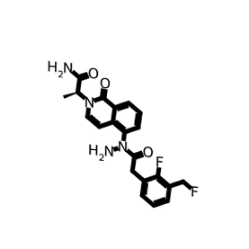 C[C@@H](C(N)=O)n1ccc2c(N(N)C(=O)Cc3cccc(CF)c3F)cccc2c1=O